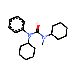 CN(C(=O)N(c1ccccc1)C1CCCCC1)C1CCCCC1